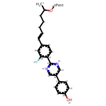 CCCCCOC(C)CCC/C=C/c1ccc(-c2ncc(-c3ccc(O)cc3)cn2)c(F)c1